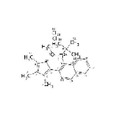 C[O][Ti+2]([c]1c(C2=C(C)C(C)=C(C)C2)ccc2ccccc12)[C](C)(C)C.[Cl-].[Cl-]